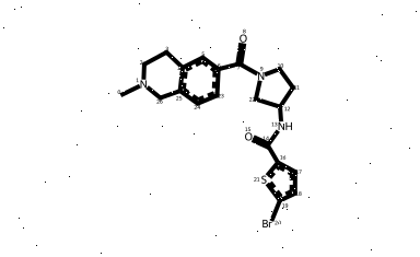 CN1CCc2cc(C(=O)N3CCC(NC(=O)c4ccc(Br)s4)C3)ccc2C1